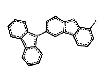 Clc1cccc2c1sc1ccc(-n3c4ccccc4c4ccccc43)cc12